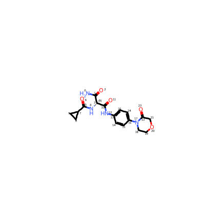 NC(=O)[C@@H](NC(=O)C1CC1)C(=O)Nc1ccc(N2CCOCC2=O)cc1